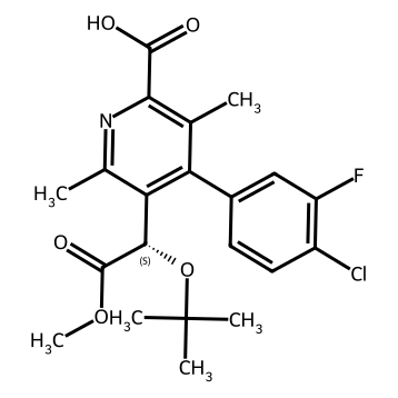 COC(=O)[C@@H](OC(C)(C)C)c1c(C)nc(C(=O)O)c(C)c1-c1ccc(Cl)c(F)c1